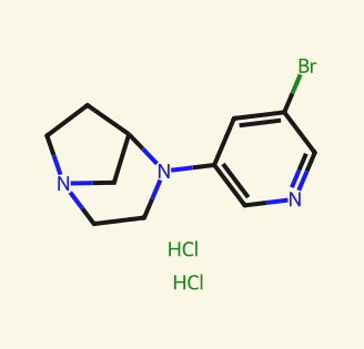 Brc1cncc(N2CCN3CCC2C3)c1.Cl.Cl